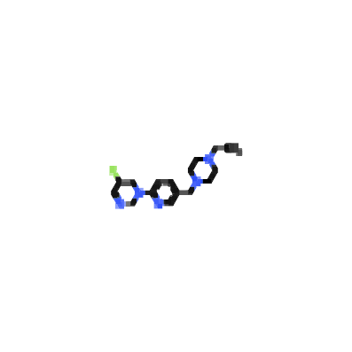 CCN1CCN(Cc2ccc(N3C=C(F)C=NC3)nc2)CC1